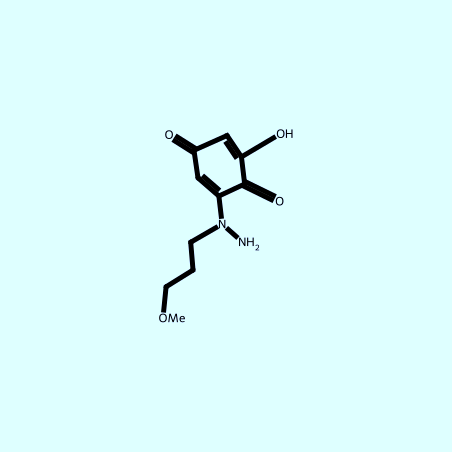 COCCCN(N)C1=CC(=O)C=C(O)C1=O